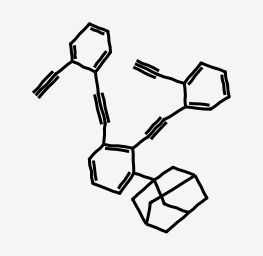 C#Cc1ccccc1C#Cc1cccc(C23CC4CC(CC(C4)C2)C3)c1C#Cc1ccccc1C#C